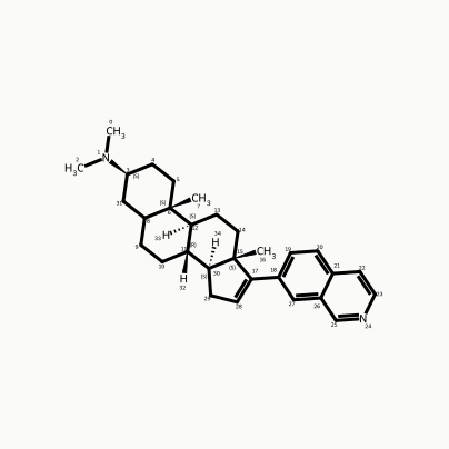 CN(C)[C@H]1CC[C@@]2(C)C(CC[C@@H]3[C@@H]2CC[C@]2(C)C(c4ccc5ccncc5c4)=CC[C@@H]32)C1